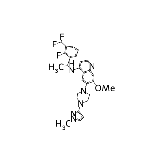 COc1cc2nccc(N[C@H](C)c3cccc(C(F)F)c3F)c2cc1N1CCN(c2ccn(C)n2)CC1